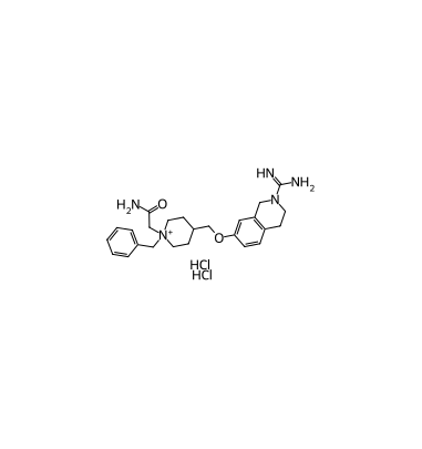 Cl.Cl.N=C(N)N1CCc2ccc(OCC3CC[N+](CC(N)=O)(Cc4ccccc4)CC3)cc2C1